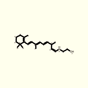 CC1=C(/C=C/C(C)=C/C=C/C(C)/C=C\NCCO)C(C)(C)CCC1